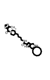 Cc1ncsc1C(=O)N1CCC(CCCCNC(=O)c2cc3c([nH]2)CC2(CCCCCCCCCC2)NC3)CC1